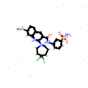 COc1ccc2cc(C(=O)Nc3cccc(S(N)(=O)=O)c3)c(N3CCCC(F)(F)CC3)nc2c1